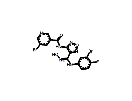 O=C(Nc1nonc1/C(=N\O)Nc1ccc(F)c(Br)c1)c1cncc(Br)c1